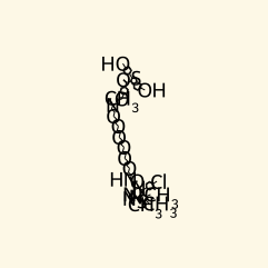 CCN(CCOCCOCCOCCOCCOCCOCCNC(=O)C[C@@H]1N=C(c2ccc(Cl)cc2)c2c(sc(C)c2C)-n2c(C)nnc21)CCOc1ccc(C(=O)c2c(-c3ccc(O)cc3)sc3cc(O)ccc23)cc1